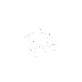 CCc1c(-c2ccc3c(cnn3C)c2)[nH]c(=O)c(C(=O)O)c1O.CCc1cc(C(=O)O)c(=O)[nH]c1-c1ccc2c(cnn2C)c1